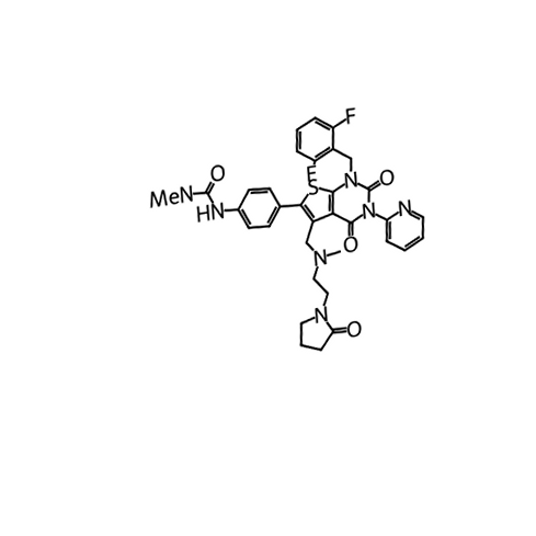 CNC(=O)Nc1ccc(-c2sc3c(c2CN(C)CCN2CCCC2=O)c(=O)n(-c2ccccn2)c(=O)n3Cc2c(F)cccc2F)cc1